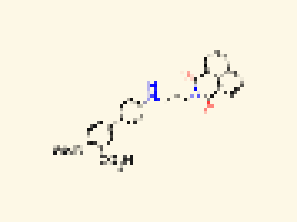 CNc1ccc(-c2ccc(NCCCN3C(=O)c4cccc5cccc(c45)C3=O)cc2)cc1C(=O)O